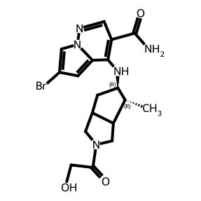 C[C@@H]1C2CN(C(=O)CO)CC2C[C@H]1Nc1c(C(N)=O)cnn2cc(Br)cc12